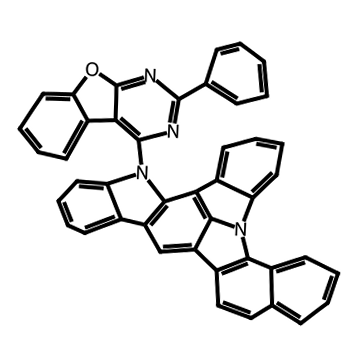 c1ccc(-c2nc(-n3c4ccccc4c4cc5c6ccc7ccccc7c6n6c7ccccc7c(c43)c56)c3c(n2)oc2ccccc23)cc1